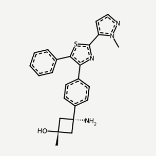 Cn1nccc1-c1nc(-c2ccc([C@]3(N)C[C@@](C)(O)C3)cc2)c(-c2ccccc2)s1